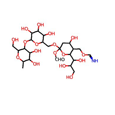 CC1OC(CO)C(OC2OC(COC3(OC=O)CC(O)C(COC=N)C(C(O)C(O)CO)O3)C(O)C(O)C2O)C(O)C1O